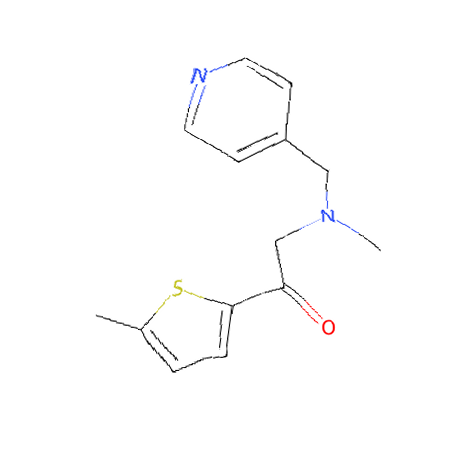 Cc1ccc(C(=O)CN(C)Cc2ccncc2)s1